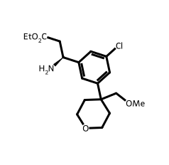 CCOC(=O)C[C@H](N)c1cc(Cl)cc(C2(COC)CCOCC2)c1